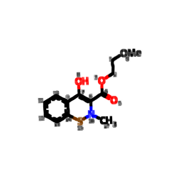 COCCOC(=O)C1=C(O)c2ccccc2SN1C